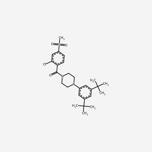 CC(C)(C)c1cc(N2CCN(C(=O)c3ccc(S(C)(=O)=O)cc3Cl)CC2)cc(C(C)(C)C)c1